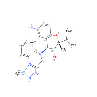 COC(OC)[C@@]1(C)Oc2ccc(N)cc2[C@H](N(Cc2nnn(C)n2)c2ccccc2)[C@H]1O